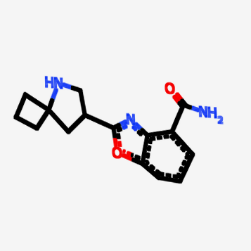 NC(=O)c1cccc2oc(C3CNC4(CCC4)C3)nc12